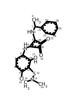 CC(Nc1c(Nc2ccc(Cl)c(SN(C)C)c2O)c(=O)c1=O)c1ccccc1